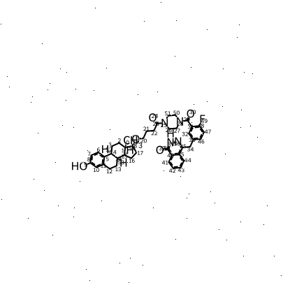 C[C@]12CC[C@@H]3c4ccc(O)cc4CC[C@H]3[C@@H]1CC[C@@H]2OCCCC(=O)N1CCN(C(=O)c2cc(Cc3n[nH]c(=O)c4ccccc34)ccc2F)CC1